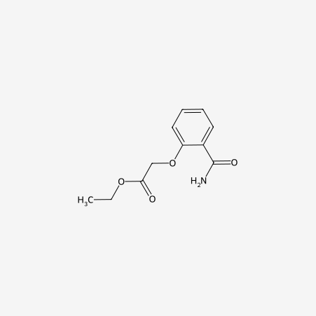 CCOC(=O)COc1ccccc1C(N)=O